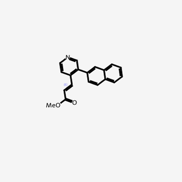 COC(=O)/C=C/c1ccncc1-c1ccc2ccccc2c1